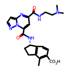 Cc1c(C(=O)O)ccc2c1CC[C@@H]2NC(=O)c1cc(C(=O)NCCN(C)C)nc2ccnn12